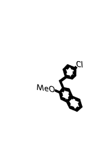 COc1cc2ccccc2cc1Cc1ccc(Cl)cc1